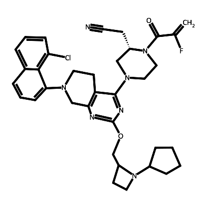 C=C(F)C(=O)N1CCN(c2nc(OCC3CCN3C3CCCC3)nc3c2CCN(c2cccc4cccc(Cl)c24)C3)C[C@@H]1CC#N